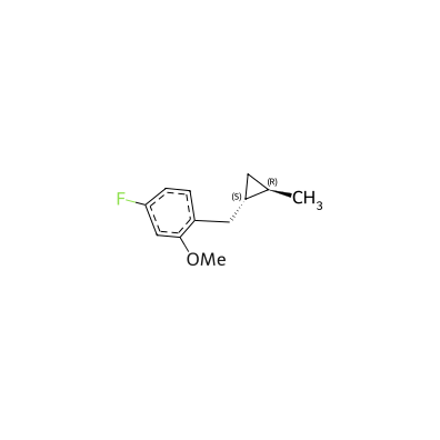 COc1cc(F)ccc1C[C@@H]1C[C@H]1C